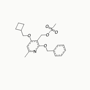 Cc1cc(OCC2CCC2)c(COS(C)(=O)=O)c(OCc2ccccc2)n1